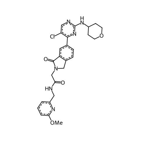 COc1cccc(CNC(=O)CN2Cc3ccc(-c4nc(NC5CCOCC5)ncc4Cl)cc3C2=O)n1